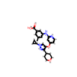 Cc1cc(Nc2cc(Oc3cn(C4CC4)nc3C3CCOCC3)ccn2)cc(C(=O)O)c1